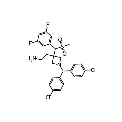 CS(=O)(=O)C(c1cc(F)cc(F)c1)C1(CCN)CN(C(c2ccc(Cl)cc2)c2ccc(Cl)cc2)C1